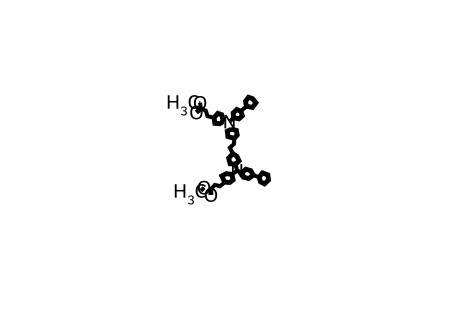 COC(=O)CCc1ccc(N(c2ccc(CCc3ccc(N(c4ccc(CCC(=O)OC)cc4)c4ccc(-c5ccccc5)cc4)cc3)cc2)c2ccc(-c3ccccc3)cc2)cc1